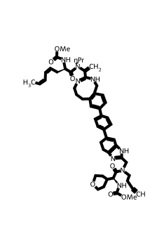 C#CCCN(Cc1nc2c([nH]1)C=C(c1ccc(-c3ccc4c(c3)CCC/N=C(/C(=C)N(CCC)C(=O)[C@@H](C/C=C\C=C/C)NC(=O)OC)NC4)cc1)CC2)C(=O)[C@@H](NC(=O)OC)C1CCOCC1